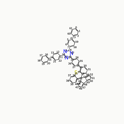 c1ccc(-c2ccc(-c3nc(-c4ccc(-c5ccccc5)cc4)nc(-c4ccc(-c5cccc6c5Sc5ccccc5C65c6ccccc6-c6ccccc65)cc4)n3)cc2)cc1